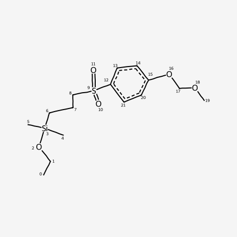 CCO[Si](C)(C)CCCS(=O)(=O)c1ccc(OCOC)cc1